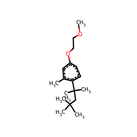 COCCOc1ccc(C(C)(C)CC(C)(C)C)c(C)c1